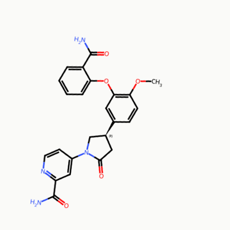 COc1ccc([C@H]2CC(=O)N(c3ccnc(C(N)=O)c3)C2)cc1Oc1ccccc1C(N)=O